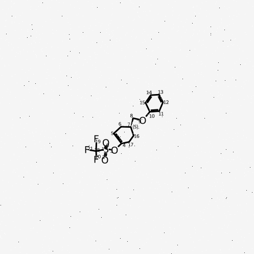 O=S(=O)(OC1=CC[C@@H](COc2ccccc2)CC1)C(F)(F)F